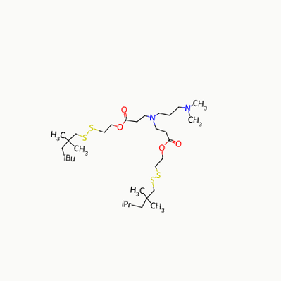 CCC(C)CC(C)(C)CSSCCOC(=O)CCN(CCCN(C)C)CCC(=O)OCCSSCC(C)(C)CC(C)C